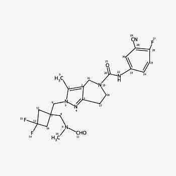 Cc1c2c(nn1CC1(CN(C)C=O)CC(F)(F)C1)CCN(C(=O)Nc1ccc(F)c(C#N)c1)C2